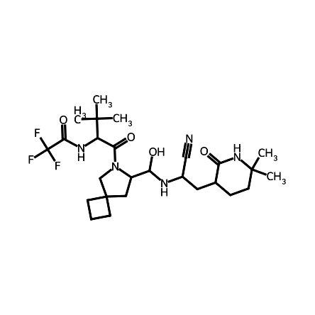 CC1(C)CCC(CC(C#N)NC(O)C2CC3(CCC3)CN2C(=O)C(NC(=O)C(F)(F)F)C(C)(C)C)C(=O)N1